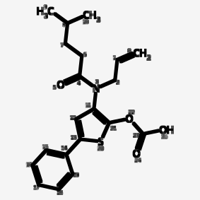 C=CCN(C(=O)CCC(C)C)c1cc(-c2ccccc2)sc1OC(=O)O